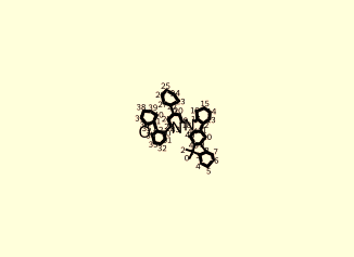 CC1(C)c2ccccc2-c2cc3c4ccccc4n(-c4cc(-c5ccccc5)cc(-c5cccc6oc7ccccc7c56)n4)c3cc21